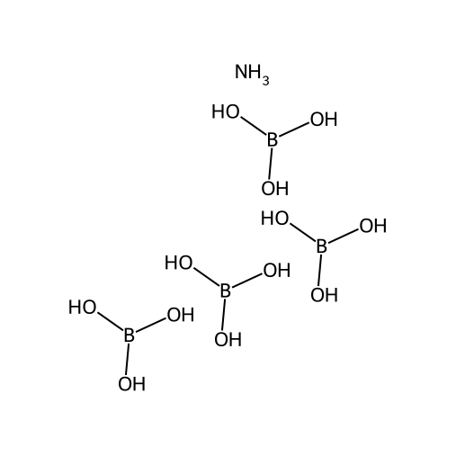 N.OB(O)O.OB(O)O.OB(O)O.OB(O)O